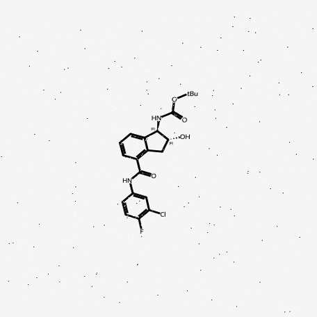 CC(C)(C)OC(=O)N[C@@H]1c2cccc(C(=O)Nc3ccc(F)c(Cl)c3)c2C[C@H]1O